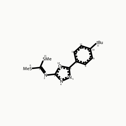 CSC(=Nc1nnc(-c2ccc(C(C)(C)C)cc2)o1)SC